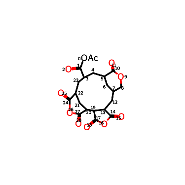 CC(=O)OC(=O)C1CC2CC(COC2=O)CC2C(=O)OC(=O)C2C2CC(C1)C(=O)OC2=O